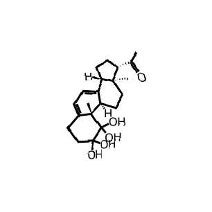 CC(=O)[C@H]1CC[C@H]2C3=CC=C4CCC(O)(O)C(O)(O)[C@@]4(C)[C@@H]3CC[C@]12C